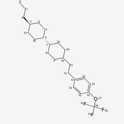 CCC[C@H]1CC[C@H](C2CCC(CCc3ccc(OC(F)(F)F)cc3)CC2)CC1